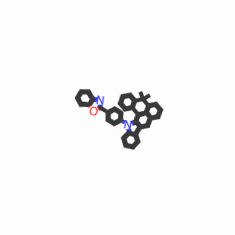 CC1(C)c2ccccc2-c2c3c1cccc3cc1c3ccccc3n(-c3ccc(-c4nc5ccccc5o4)cc3)c21